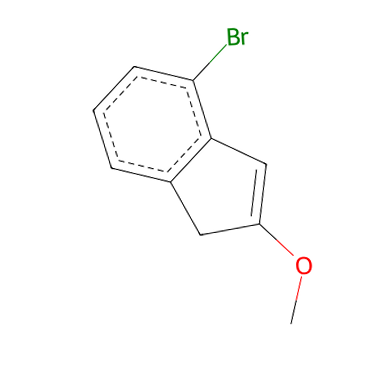 COC1=Cc2c(Br)cccc2C1